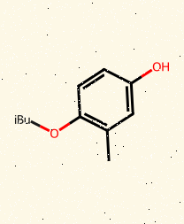 CCC(C)Oc1ccc(O)cc1C